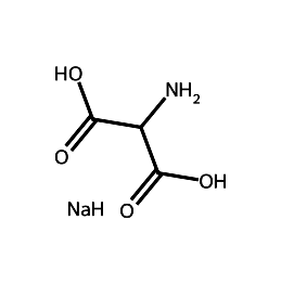 NC(C(=O)O)C(=O)O.[NaH]